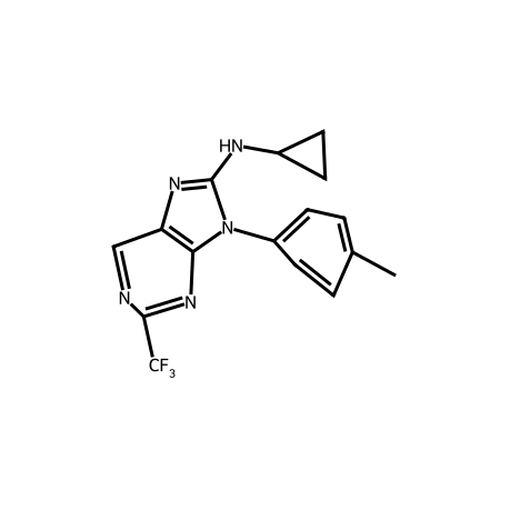 Cc1ccc(-n2c(NC3CC3)nc3cnc(C(F)(F)F)nc32)cc1